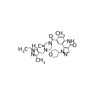 CCn1cc(CN2CCN(C(=O)c3cc4c(cc3C)[nH]c(=O)c3cnn(C5CCOCC5)c34)C[C@@H]2C)c(C)n1